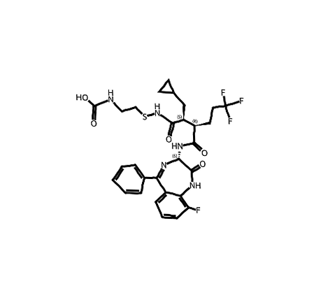 O=C(O)NCCSNC(=O)[C@@H](CC1CC1)[C@@H](CCC(F)(F)F)C(=O)N[C@H]1N=C(c2ccccc2)c2cccc(F)c2NC1=O